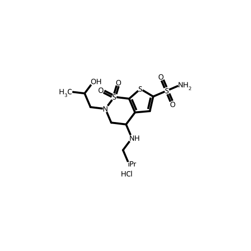 CC(C)CNC1CN(CC(C)O)S(=O)(=O)c2sc(S(N)(=O)=O)cc21.Cl